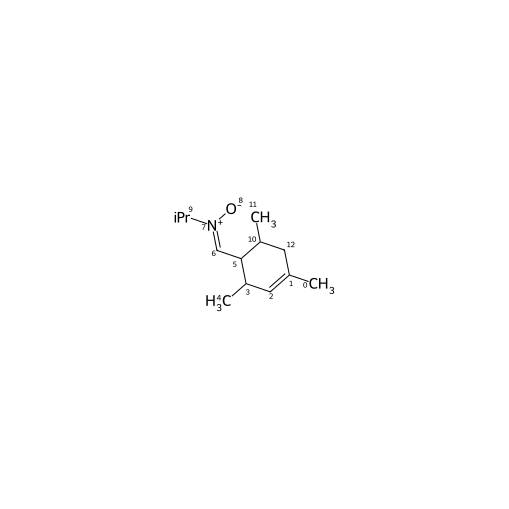 CC1=CC(C)C(C=[N+]([O-])C(C)C)C(C)C1